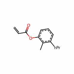 C=CC(=O)Oc1cccc(CCC)c1C